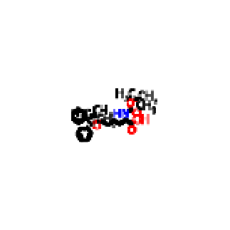 CC(C)(C)OC(=O)NC(CCCCO[Si](c1ccccc1)(c1ccccc1)C(C)(C)C)C(=O)O